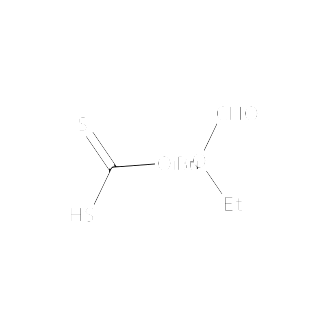 CC(C)COC(=S)S.CCOC=O